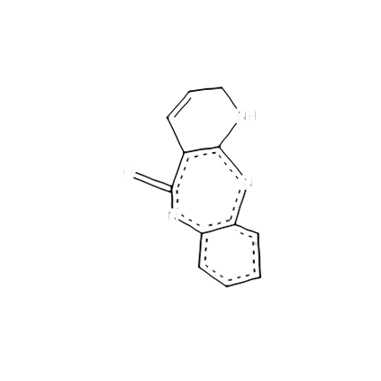 O=c1nc2ccccc2nc2c1C=CCN2